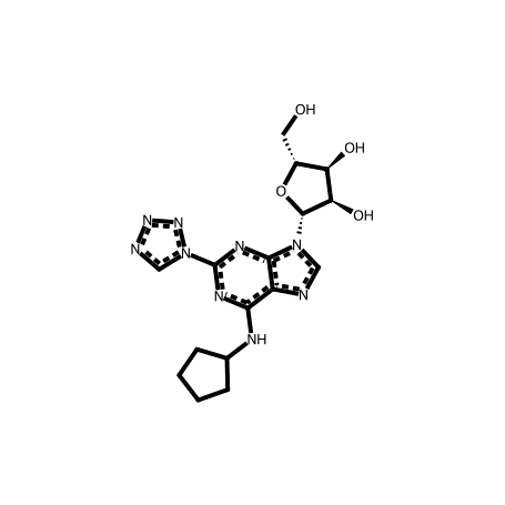 OC[C@H]1O[C@@H](n2cnc3c(NC4CCCC4)nc(-n4cnnn4)nc32)[C@H](O)[C@@H]1O